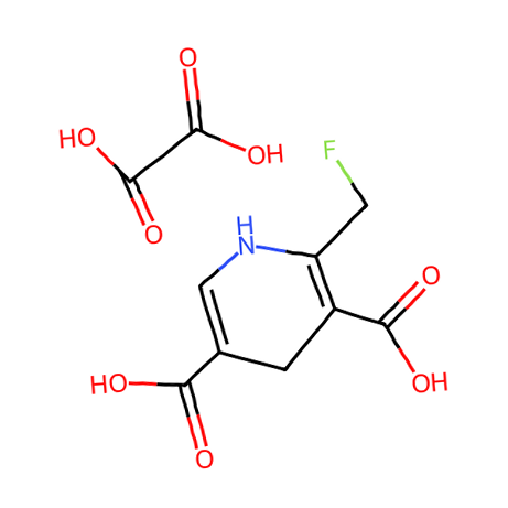 O=C(O)C(=O)O.O=C(O)C1=CNC(CF)=C(C(=O)O)C1